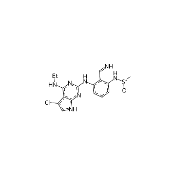 CCNc1nc(Nc2cccc(N[S+](C)[O-])c2C=N)nc2[nH]cc(Cl)c12